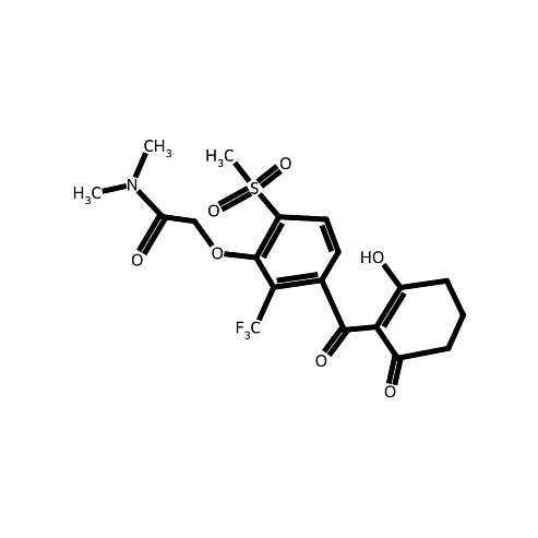 CN(C)C(=O)COc1c(S(C)(=O)=O)ccc(C(=O)C2=C(O)CCCC2=O)c1C(F)(F)F